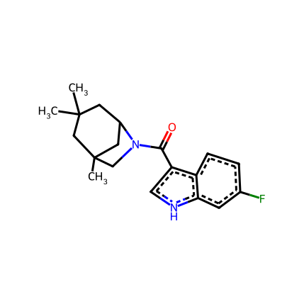 CC1(C)CC2CC(C)(CN2C(=O)c2c[nH]c3cc(F)ccc23)C1